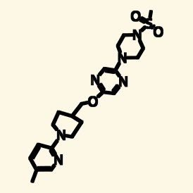 Cc1ccc(N2CCC(COc3cnc(N4CCN(S(C)(=O)=O)CC4)cn3)CC2)nc1